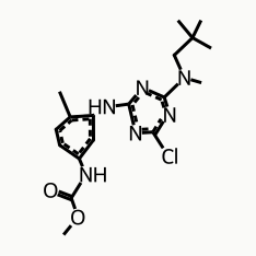 COC(=O)Nc1ccc(C)c(Nc2nc(Cl)nc(N(C)CC(C)(C)C)n2)c1